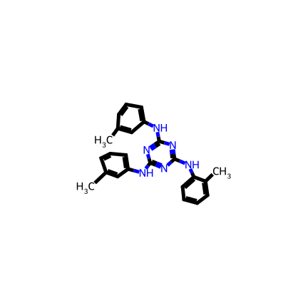 Cc1cccc(Nc2nc(Nc3cccc(C)c3)nc(Nc3ccccc3C)n2)c1